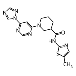 Cc1cnc(NC(=O)C2CCCN(c3cc(-n4cncn4)ncn3)C2)s1